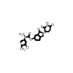 Cc1ccc(N(C)C(=O)Oc2ccc3c(c2)C(=O)N([C@@H]2CCC(=O)NC2=O)C3)cc1Cl